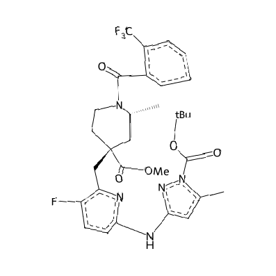 COC(=O)[C@]1(Cc2nc(Nc3cc(C)n(C(=O)OC(C)(C)C)n3)ccc2F)CCN(C(=O)c2ccccc2C(F)(F)F)[C@H](C)C1